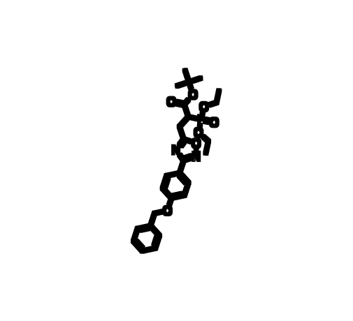 CCOP(=O)(OCC)C(Cc1nc(-c2ccc(OCc3ccccc3)cc2)no1)C(=O)OC(C)(C)C